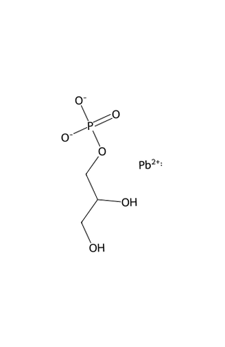 O=P([O-])([O-])OCC(O)CO.[Pb+2]